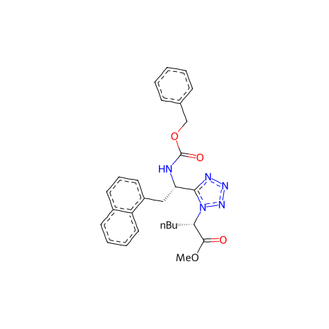 CCCC[C@@H](C(=O)OC)n1nnnc1[C@H](Cc1cccc2ccccc12)NC(=O)OCc1ccccc1